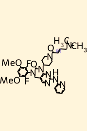 COc1cc(OC)c(F)c(N2Cc3cnc(Nc4ccccn4)nc3N(C3CCN(C(=O)/C=C/CN(C)C)CC3)C2=O)c1F